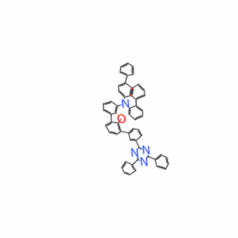 c1ccc(-c2ccc(N(c3ccccc3-c3ccccc3)c3cccc4c3oc3c(-c5cccc(-c6nc(-c7ccccc7)nc(-c7ccccc7)n6)c5)cccc34)cc2)cc1